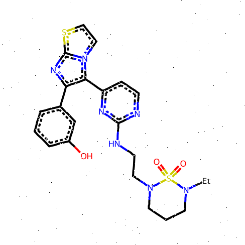 CCN1CCCN(CCNc2nccc(-c3c(-c4cccc(O)c4)nc4sccn34)n2)S1(=O)=O